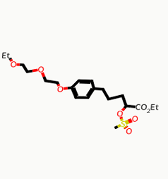 CCOCCOCCOc1ccc(CCCC(OS(C)(=O)=O)C(=O)OCC)cc1